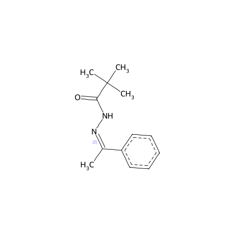 C/C(=N/NC(=O)C(C)(C)C)c1ccccc1